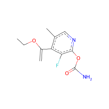 C=C(OCC)c1c(C)cnc(OC(N)=O)c1F